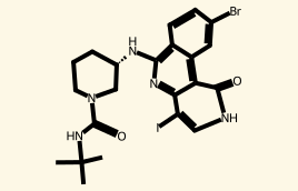 CC(C)(C)NC(=O)N1CCC[C@H](Nc2nc3c(I)c[nH]c(=O)c3c3cc(Br)ccc23)C1